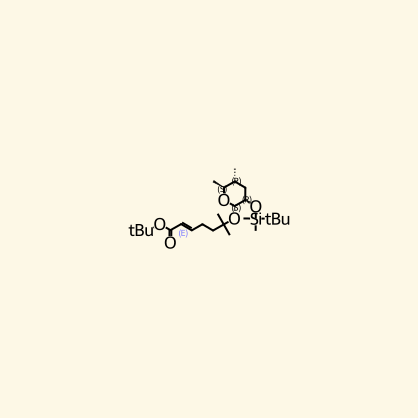 C[C@@H]1C[C@@H](O[Si](C)(C)C(C)(C)C)[C@H](OC(C)(C)CC/C=C/C(=O)OC(C)(C)C)O[C@H]1C